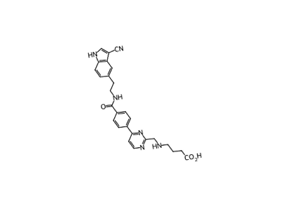 N#Cc1c[nH]c2ccc(CCNC(=O)c3ccc(-c4ccnc(CNCCCC(=O)O)n4)cc3)cc12